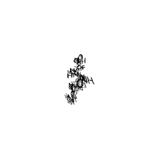 CS(=O)(=O)NCc1cc(F)cc(-c2nccc3[nH]c(-c4n[nH]c5ccc(-c6cncc(OCCN7CCCC7)c6)cc45)cc23)c1